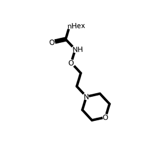 CCCCCCC(=O)NOCCN1CCOCC1